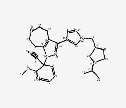 COC1N=CC=CC1(C#N)n1nc(-c2cnn(CC3CCN(C(C)C)C3)c2)c2c1CCOCC2